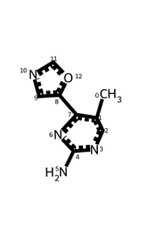 Cc1cnc(N)nc1-c1cnco1